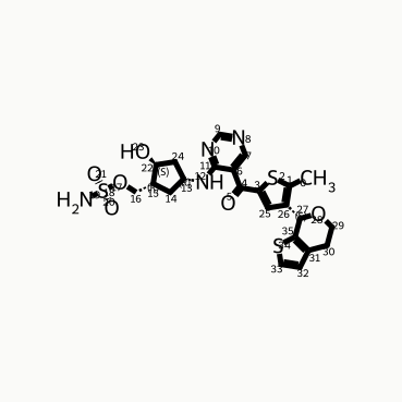 Cc1sc(C(=O)c2cncnc2N[C@@H]2C[C@H](COS(N)(=O)=O)[C@@H](O)C2)cc1[C@@H]1OCCc2ccsc21